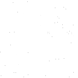 CCc1cc2c(cc1C(=O)N=C(N)N)S(=O)(=O)CC2